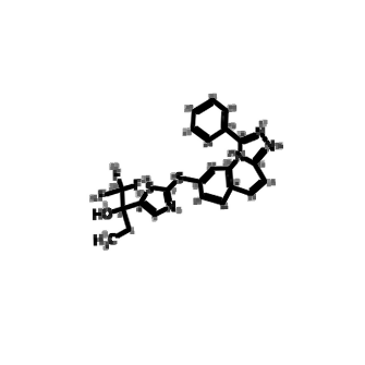 CCC(O)(c1cnc(Sc2ccc3ccc4nnc(-c5ccccc5)n4c3c2)s1)C(F)(F)F